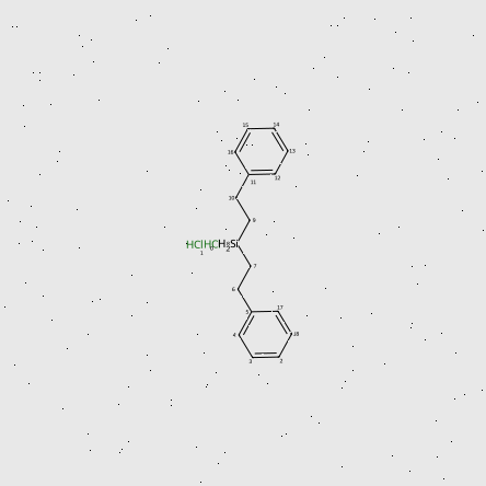 Cl.Cl.c1ccc(CC[SiH2]CCc2ccccc2)cc1